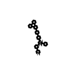 c1ccc(-c2nc(-c3ccc(-c4ccc(-c5ccc6c7ccccc7c7ccccc7c6c5)cc4)cc3)cc(-c3cccc(-c4ccncc4)c3)n2)cc1